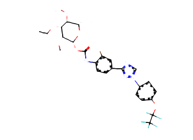 CCO[C@@H]1[C@@H](OC)[C@H](C)O[C@@H](OC(=O)Nc2ccc(-c3ncn(-c4ccc(OC(F)(F)C(F)(F)F)cc4)n3)cc2Br)[C@@H]1OC